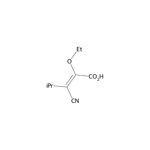 CCO/C(C(=O)O)=C(/C#N)C(C)C